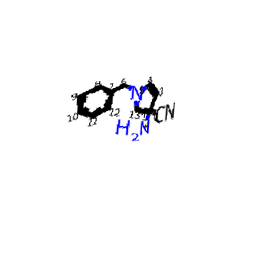 N#CC1(N)C=CN(Cc2ccccc2)C1